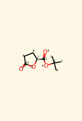 CC(C)(C)OC(=O)[C@@H]1CCC(=O)O1